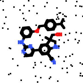 CC(C)c1ccc(COc2cccc(Nc3nccc(-c4cc(C#N)c5c(c4)C(C)(CO)CN5)n3)c2)cc1